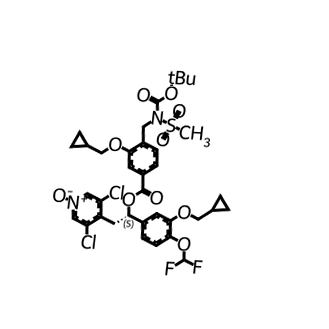 CC(C)(C)OC(=O)N(Cc1ccc(C(=O)O[C@@H](Cc2c(Cl)c[n+]([O-])cc2Cl)c2ccc(OC(F)F)c(OCC3CC3)c2)cc1OCC1CC1)S(C)(=O)=O